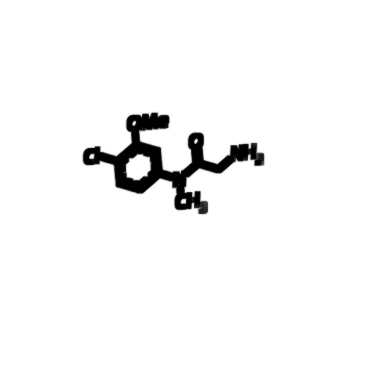 COc1cc(N(C)C(=O)CN)ccc1Cl